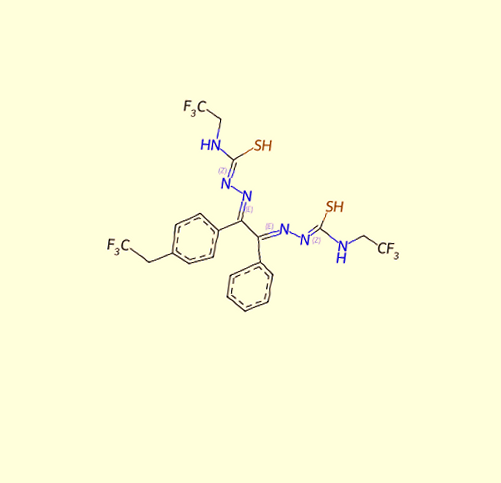 FC(F)(F)CN/C(S)=N/N=C(/C(=N/N=C(\S)NCC(F)(F)F)c1ccc(CC(F)(F)F)cc1)c1ccccc1